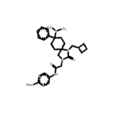 COc1ncc(NC(=O)CN2CC3(CCC(c4ccccc4)(N(C)C)CC3)N(CC3CCC3)C2=O)cn1